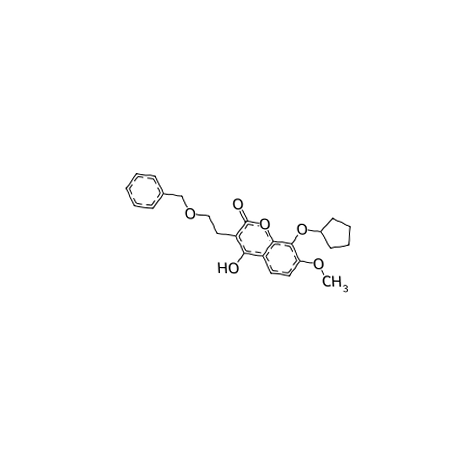 COc1ccc2c(O)c(CCOCc3ccccc3)c(=O)oc2c1OC1CCCC1